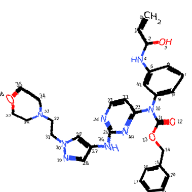 C=CC(O)Nc1cccc(N(C(=O)OCc2ccccc2)c2ccnc(Nc3cnn(CCN4CCOCC4)c3)n2)c1